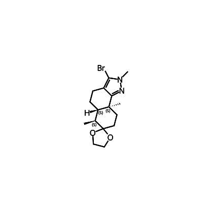 C[C@H]1[C@@H]2CCc3c(nn(C)c3Br)[C@@]2(C)CCC12OCCO2